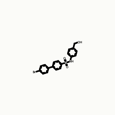 O=S(=O)(Nc1ccc(CO)cc1)c1ccc(-c2ccc(Br)cc2)cc1